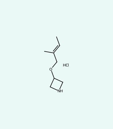 C/C=C(\C)COC1CNC1.Cl